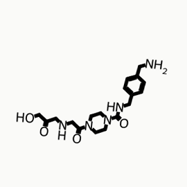 NCc1ccc(CNC(=O)N2CCN(C(=O)CNCC(=O)CO)CC2)cc1